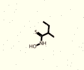 CCC(C)C(=S)NO